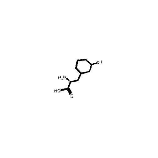 N[C@@H](CC1CCCC(O)C1)C(=O)O